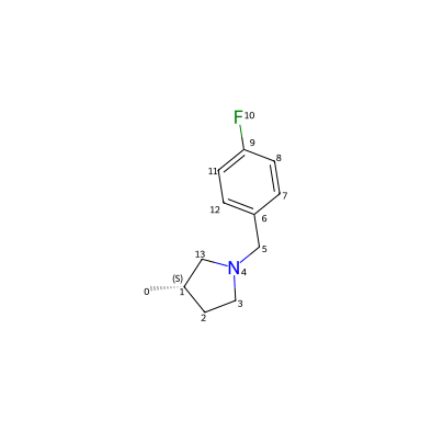 C[C@H]1CCN(Cc2ccc(F)cc2)C1